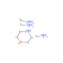 C1COCCN1.CN.CN.CN